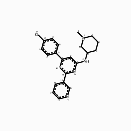 CN1CCCC(Nc2cc(-c3ccc(Cl)cc3)nc(-c3cccnc3)n2)C1